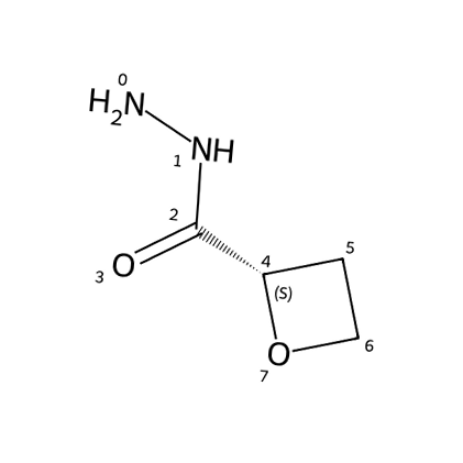 NNC(=O)[C@@H]1CCO1